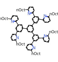 CCCCCCCCc1cccc(-c2cc(-c3cc(-c4cc(-c5cccc(CCCCCCCC)n5)cc(-c5cccc(CCCCCCCC)n5)c4)cc(-c4cc(-c5cccc(CCCCCCCC)n5)cc(-c5cccc(CCCCCCCC)n5)c4)c3)cc(-c3cccc(CCCCCCCC)n3)c2)n1